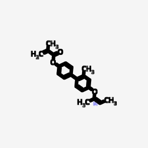 C=C(C)C(=O)Oc1ccc(-c2ccc(O/C(C)=C\C)cc2C)cc1